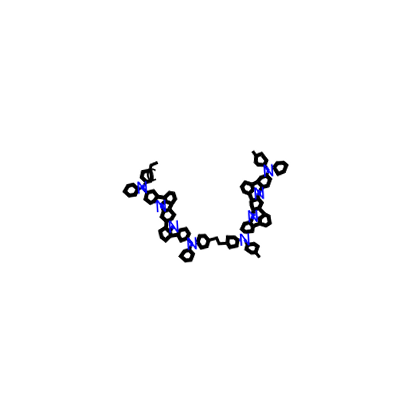 CCc1ccc(N(c2ccccc2)c2ccc3c(c2)c2cccc4c5cc6c(cc5n3c24)c2cccc3c4cc(N(c5ccccc5)c5ccc(CCc7ccc(N(c8ccc(C)cc8)c8ccc9c(c8)c8cccc%10c%11cc%12c(cc%11n9c8%10)c8cccc9c%10cc(N(c%11ccccc%11)c%11ccc(C)cc%11)ccc%10n%12c98)cc7)cc5)ccc4n6c32)cc1